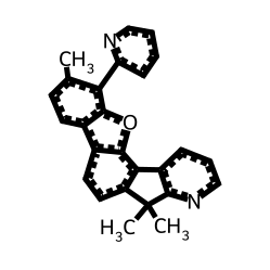 Cc1ccc2c(oc3c4c(ccc32)C(C)(C)c2ncccc2-4)c1-c1ccccn1